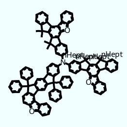 CCCCCCCC1(CCCCCCC)c2cc(N(c3ccc4c(c3)C(C)(C)c3c5c(c6c(oc7ccccc76)c3-4)-c3ccccc3C5(C)C)c3ccc4c(c3)C(c3ccccc3)(c3ccccc3)c3cc5c(cc3-4)C(c3ccccc3)(c3ccccc3)c3ccc4oc6ccccc6c4c3-5)ccc2-c2c1c1c(c3c2oc2ccccc23)-c2ccccc2C1(CCCCCCC)CCCCCCC